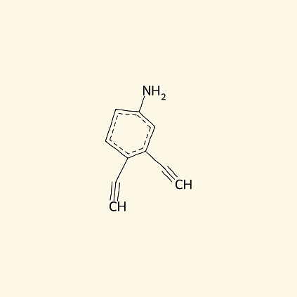 C#Cc1ccc(N)cc1C#C